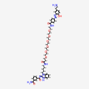 NCCc1ccc(O)c(/N=N/c2ccc(C(=O)NCCOCCOCCOCCOCCOCCOCCC(=O)NCCCCCn3/c(=N/C(=O)c4cccc(C(N)=O)c4)[nH]c4ccccc43)cc2)c1